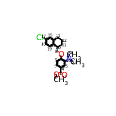 COC(=O)c1ccc(OC[C@H]2CCCc3cc(Cl)ccc32)c(N(C)C)c1